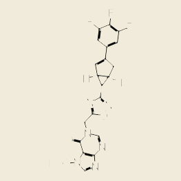 Cn1cnc2ncn(Cc3nc([C@H]4[C@@H]5C=C(c6cc(F)c(F)c(F)c6)C[C@@H]54)no3)c(=O)c21